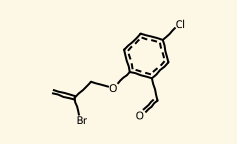 C=C(Br)COc1ccc(Cl)cc1C=O